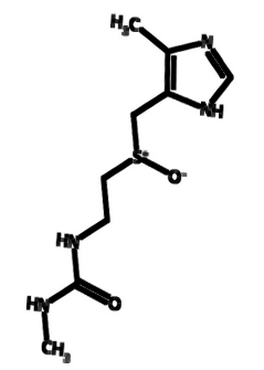 CNC(=O)NCC[S+]([O-])Cc1[nH]cnc1C